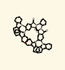 O=C1c2cc(-n3c4ccccc4c4ccccc43)c(-n3c4ccccc4c4ccccc43)cc2C(=O)N1c1ccccc1N1C(=O)c2cc(-n3c4ccccc4c4ccccc43)c(-n3c4ccccc4c4ccccc43)cc2C1=O